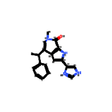 CC(c1ccccc1)c1cn(C)c(=O)c2[nH]c(-c3c[nH]cn3)cc12